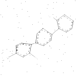 N#Cc1ccccc1-c1ccc(-c2ccc(N)cc2N)cc1